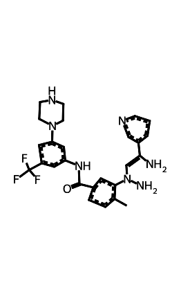 Cc1ccc(C(=O)Nc2cc(N3CCNCC3)cc(C(F)(F)F)c2)cc1N(N)/C=C(\N)c1cccnc1